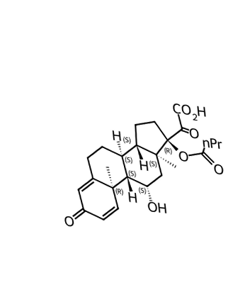 CCCC(=O)O[C@]1(C(=O)C(=O)O)CC[C@H]2[C@@H]3CCC4=CC(=O)C=C[C@]4(C)[C@H]3[C@@H](O)C[C@@]21C